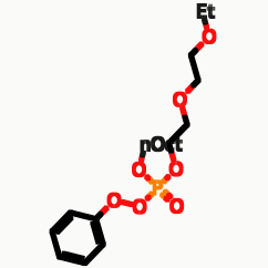 CCCCCCCCOP(=O)(OCCOCCOCC)OOc1ccccc1